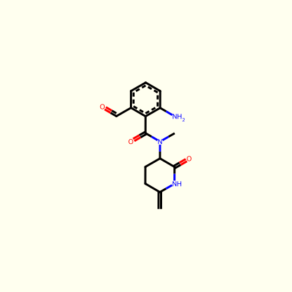 C=C1CCC(N(C)C(=O)c2c(N)cccc2C=O)C(=O)N1